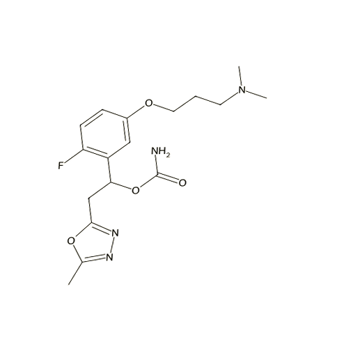 Cc1nnc(CC(OC(N)=O)c2cc(OCCCN(C)C)ccc2F)o1